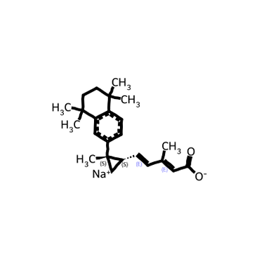 CC(/C=C/[C@@H]1C[C@]1(C)c1ccc2c(c1)C(C)(C)CCC2(C)C)=C\C(=O)[O-].[Na+]